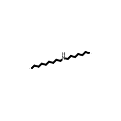 [CH2]CCCCCCCCNCCCCCC[CH2]